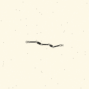 O=NN=NN=NO